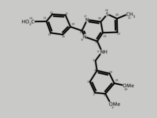 COc1ccc(CNc2nc(-c3ccc(C(=O)O)cc3)nc3sc(C)cc23)cc1OC